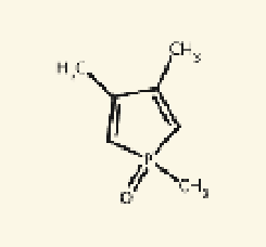 CC1=CP(C)(=O)C=C1C